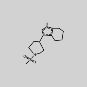 CS(=O)(=O)N1CCC(c2c[nH]c3c2CCCC3)CC1